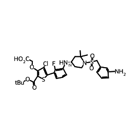 CC(C)(C)OC(=O)c1sc(-c2cccc(N[C@H]3CCN(S(=O)(=O)Cc4cccc(N)c4)C(C)(C)C3)c2F)c(Cl)c1OCC(=O)O